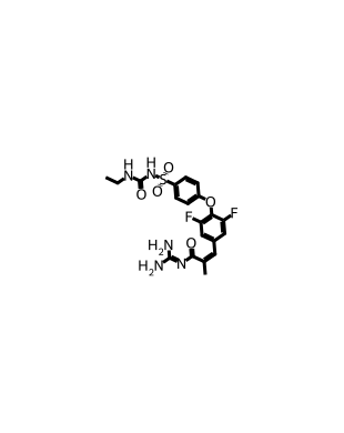 CCNC(=O)NS(=O)(=O)c1ccc(Oc2c(F)cc(C=C(C)C(=O)N=C(N)N)cc2F)cc1